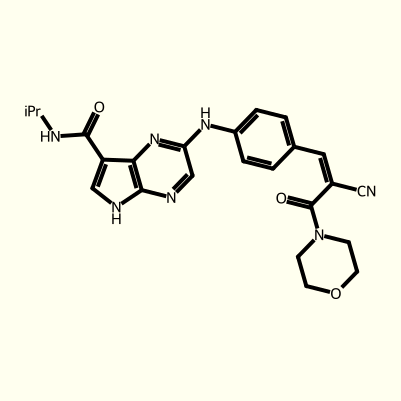 CC(C)NC(=O)c1c[nH]c2ncc(Nc3ccc(C=C(C#N)C(=O)N4CCOCC4)cc3)nc12